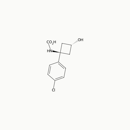 O=C(O)N[C@]1(c2ccc(Cl)cc2)C[C@@H](O)C1